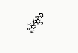 N#CC[C@H]1O[C@@H](n2cnc3c(NN4CCCCC4)nc(Cl)nc32)C(O)C1O